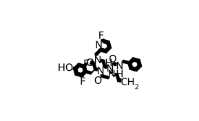 C=CCN1CC(=O)N2[C@@H](Cc3c(F)cc(O)cc3F)C(=O)N(Cc3cccc(F)n3)C[C@@H]2N1C(=O)NCc1ccccc1